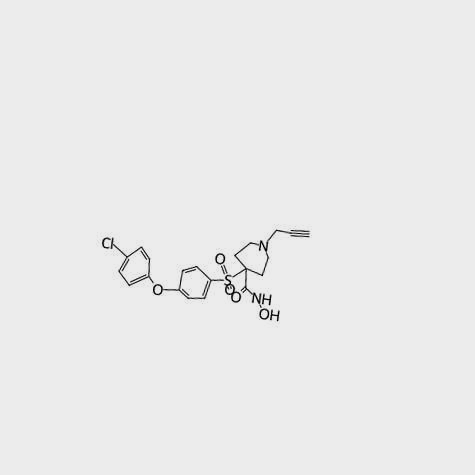 C#CCN1CCC(C(=O)NO)(S(=O)(=O)c2ccc(Oc3ccc(Cl)cc3)cc2)CC1